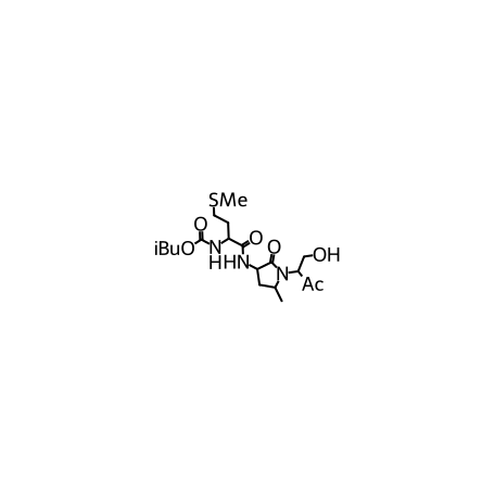 CSCCC(NC(=O)OCC(C)C)C(=O)NC1CC(C)N(C(CO)C(C)=O)C1=O